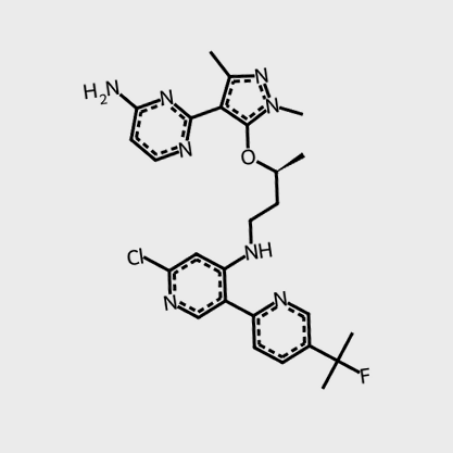 Cc1nn(C)c(O[C@@H](C)CCNc2cc(Cl)ncc2-c2ccc(C(C)(C)F)cn2)c1-c1nccc(N)n1